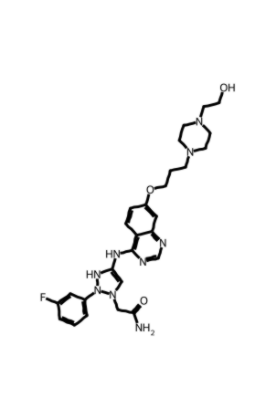 NC(=O)CN1C=C(Nc2ncnc3cc(OCCCN4CCN(CCO)CC4)ccc23)NN1c1cccc(F)c1